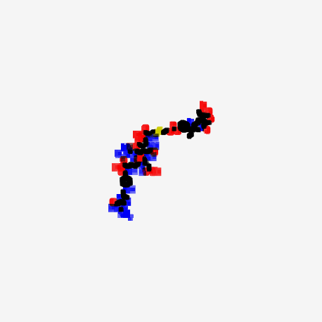 CCc1c2c(nc3ccc(OC(=O)OCCSSC[C@@H](NC(=O)[C@H](CC(=O)O)NC(=O)C(CCCNC(=N)N)NC(=O)[C@H](CC(=O)O)NC(=O)CCC(NC(=O)c4ccc(NCc5cnc6nc(N)[nH]c(=O)c6n5)cc4)C(=O)O)C(=O)O)cc13)-c1cc3c(c(=O)n1C2)COC(=O)[C@]3(O)CC